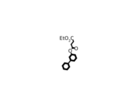 CCOC(=O)CCC(=O)Oc1cccc(-c2ccccc2)c1